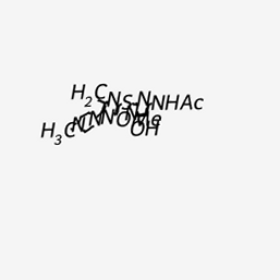 C=Cc1nc(Sc2nc(O)cc(NC(C)=O)n2)c(OC)nc1N1CCN(C)CC1